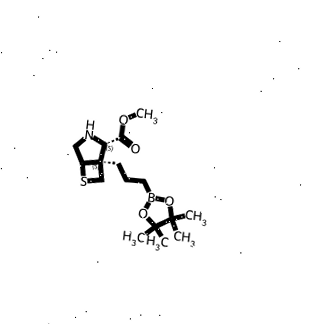 COC(=O)[C@H]1NCC2SC[C@@]21CCCB1OC(C)(C)C(C)(C)O1